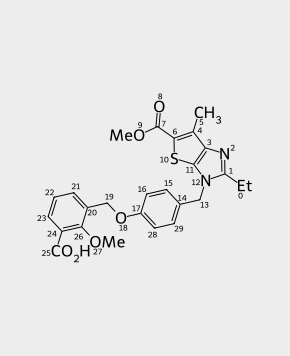 CCc1nc2c(C)c(C(=O)OC)sc2n1Cc1ccc(OCc2cccc(C(=O)O)c2OC)cc1